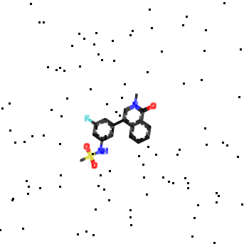 Cn1cc(-c2cc(F)cc(NS(C)(=O)=O)c2)c2ccccc2c1=O